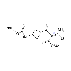 CC/C(C)=C(\C(=O)OC)C(=O)C1CC(NC(=O)OC(C)(C)C)C1